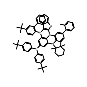 Cc1ccccc1-c1cc2c3c(c1)C1(C)CCCCC1(C)N3c1cc(N(c3ccc(C(C)(C)C)cc3)c3ccc(C(C)(C)C)cc3)cc3c1B2c1oc2ccccc2c1N3c1ccc(C(C)(C)C)cc1-c1ccccc1